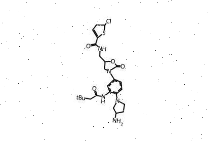 CC(C)(C)CC(=O)Nc1cc(N2CC(CNC(=O)C3=CCC(Cl)S3)OC2=O)ccc1N1CCC(N)C1